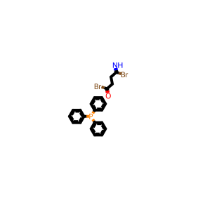 N=C(Br)CCC(=O)Br.c1ccc(P(c2ccccc2)c2ccccc2)cc1